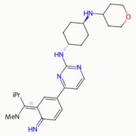 CN/C(=C1/C=C(c2ccnc(N[C@H]3CC[C@H](NC4CCOCC4)CC3)n2)C=CC1=N)C(C)C